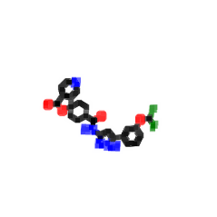 O=C1OC2(CCC(C(=O)Nc3cc(-c4cccc(OC(F)F)c4)[nH]n3)CC2)c2cnccc21